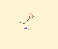 [CH2]C(N)C1CO1